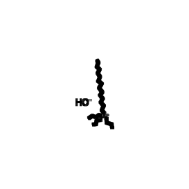 CCCCCCCCCCCCCCCC[P+](CCCC)(CCCC)CCCC.[OH-]